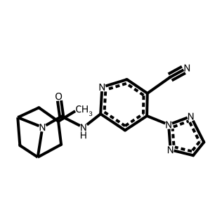 CC1CC2CC(C1)N2C(=O)Nc1cc(-n2nccn2)c(C#N)cn1